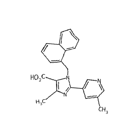 Cc1cncc(-c2nc(C)c(C(=O)O)n2Cc2cccc3ccccc23)c1